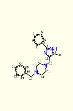 Cc1[nH]c(-c2ccccc2)nc1CN1CCN(Cc2ccccc2)CC1